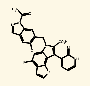 NC(=O)n1ncc2cc(Cl)c(Cn3c(C(=O)O)c(-c4ccc[nH]c4=O)c4c5occc5c(F)cc43)cc21